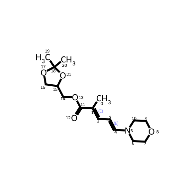 C/C(=C\C=C\N1CCOCC1)C(=O)OCC1COC(C)(C)O1